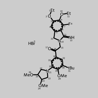 Br.CCOc1cc2c(c(F)c1OCC)C(=N)N(CC(=O)c1cc(N3CC(OC)C(OC)C3)c(OC)c(C(C)(C)C)c1)C2